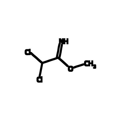 COC(=N)C(Cl)Cl